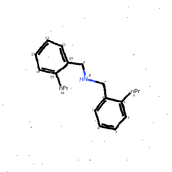 CCCc1ccccc1CNCc1ccccc1CCC